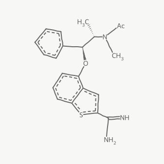 CC(=O)N(C)[C@@H](C)[C@@H](Oc1cccc2sc(C(=N)N)cc12)c1ccccc1